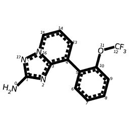 Nc1nc2c(-c3ccccc3OC(F)(F)F)cccn2n1